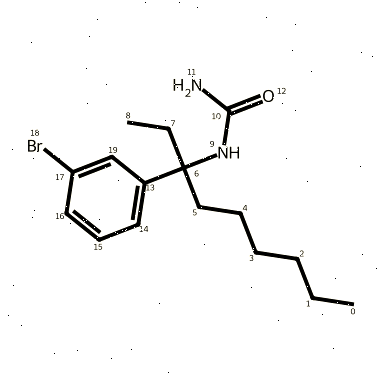 CCCCCCC(CC)(NC(N)=O)c1cccc(Br)c1